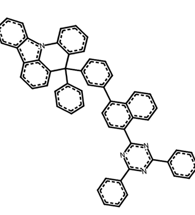 c1ccc(-c2nc(-c3ccccc3)nc(-c3ccc(-c4cccc(C5(c6ccccc6)c6ccccc6-n6c7ccccc7c7cccc5c76)c4)c4ccccc34)n2)cc1